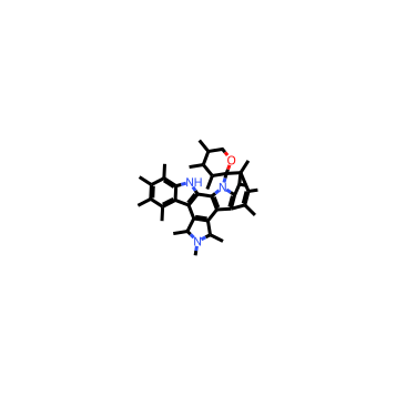 CC1=C(C)C2(C)C(C)c3c1c1c4c(c5c([nH]c6c(C)c(C)c(C)c(C)c65)c1n3C21OCC(C)C(C)C1C)C(C)N(C)C4C